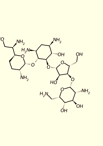 NC[C@@H]1O[C@H](O[C@H]2[C@@H](O)[C@H](O[C@@H]3[C@@H](O)[C@H](N)C[C@H](N)[C@H]3O[C@H]3O[C@H]([C@H](N)CO)CC[C@H]3N)O[C@@H]2CO)[C@H](N)[C@@H](O)[C@@H]1O